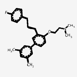 Cc1cc(C)cc(-c2ccc(OCCN(C)C)c(CCCc3ccc(F)cc3)c2)c1